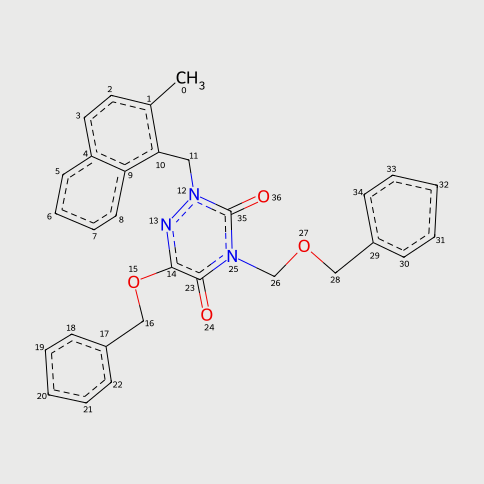 Cc1ccc2ccccc2c1Cn1nc(OCc2ccccc2)c(=O)n(COCc2ccccc2)c1=O